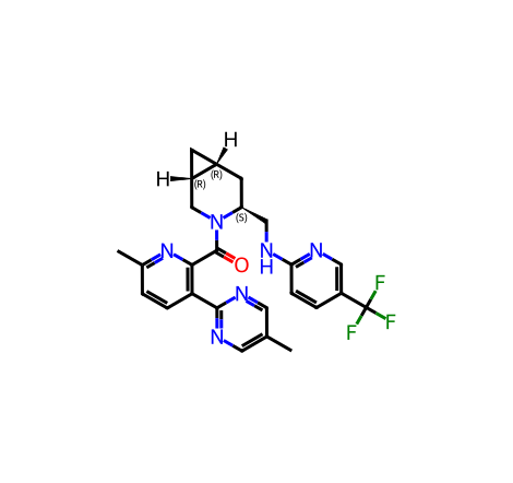 Cc1cnc(-c2ccc(C)nc2C(=O)N2C[C@@H]3C[C@@H]3C[C@H]2CNc2ccc(C(F)(F)F)cn2)nc1